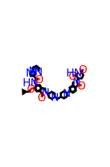 O=C1CCC(N2Cc3cc(N4CCC(CN5CCC(N6Cc7cc(NC(=O)c8cnn9cccnc89)c(OCC8CC8)cc7C6=O)CC5)CC4)ccc3C2=O)C(=O)N1